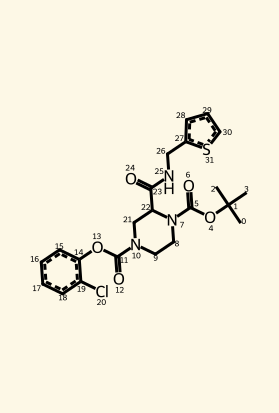 CC(C)(C)OC(=O)N1CCN(C(=O)Oc2ccccc2Cl)CC1C(=O)NCc1cccs1